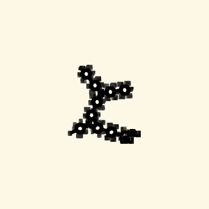 Cc1ccc(-n2c3ccc(-c4ccc(C(CC(C)(C)C)C(C)(C)C)cc4)cc3c3cc(-c4ccc(N(c5ccc(-c6ccccc6)cc5)c5ccc(-c6ccccc6)cc5)cc4)ccc32)cc1